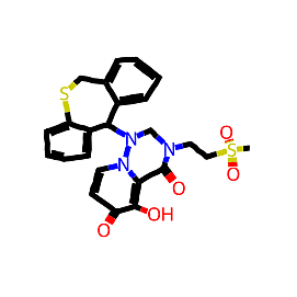 CS(=O)(=O)CCN1CN(C2c3ccccc3CSc3ccccc32)n2ccc(=O)c(O)c2C1=O